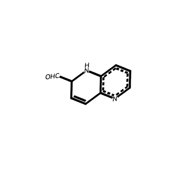 O=CC1C=Cc2ncccc2N1